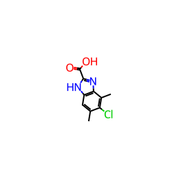 Cc1cc2[nH]c(C(=O)O)nc2c(C)c1Cl